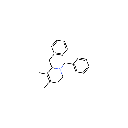 CC1=C(C)C(Cc2ccccc2)N(Cc2ccccc2)CC1